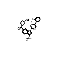 C[S+]([O-])c1cn(-c2ncc(-c3ccccc3F)cn2)c2cc(C(=O)N3CC[C@@H](N)C3)ccc12